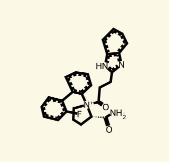 NC(=O)[C@@H]1CCC[N+]1(C(=O)CCc1nc2ccccc2[nH]1)c1ccccc1-c1ccccc1F